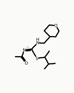 CC(=O)/N=C(/NCC1CCOCC1)SC(C)C(C)C